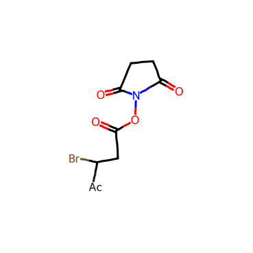 CC(=O)C(Br)CC(=O)ON1C(=O)CCC1=O